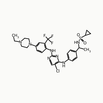 CCN1CCN(c2ccc(Nc3ncc(Cl)c(Nc4ccc(C(C)NS(=O)(=O)C5CC5)cc4)n3)c(C(F)(F)F)c2)CC1